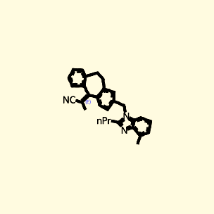 CCCc1nc2c(C)cccc2n1Cc1ccc2c(c1)CCc1ccccc1/C2=C(/C)C#N